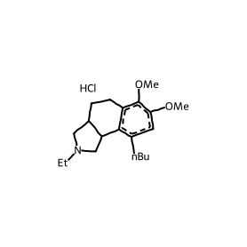 CCCCc1cc(OC)c(OC)c2c1C1CN(CC)CC1CC2.Cl